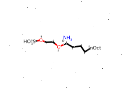 CCCCCCCCCCCCOCCOS(=O)(=O)O.N